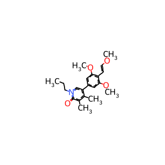 CCCn1cc(-c2cc(OC)c(C=COC)c(OC)c2)c(C)c(C)c1=O